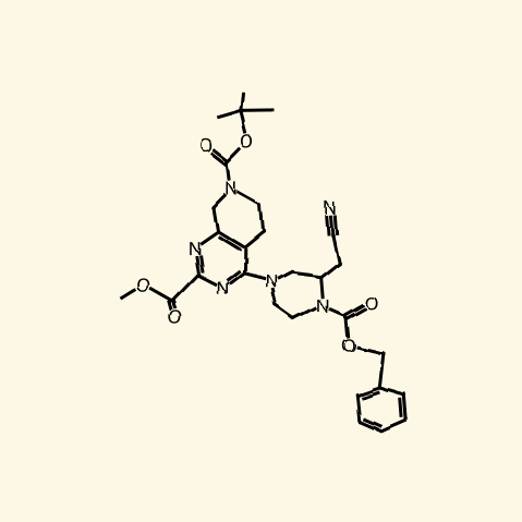 COC(=O)c1nc2c(c(N3CCN(C(=O)OCc4ccccc4)C(CC#N)C3)n1)CCN(C(=O)OC(C)(C)C)C2